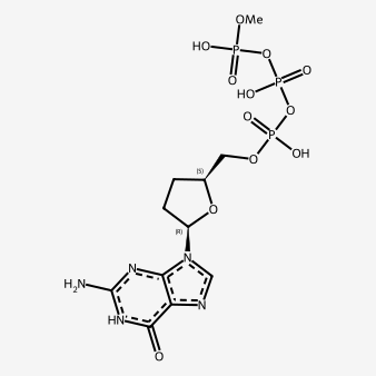 COP(=O)(O)OP(=O)(O)OP(=O)(O)OC[C@@H]1CC[C@H](n2cnc3c(=O)[nH]c(N)nc32)O1